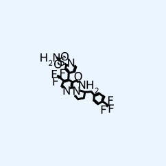 NC(=O)c1c(N2CCCC(Cc3ccc(C(F)(F)F)cc3)C2)ncc(C(F)(F)F)c1-c1ccnc(S(N)(=O)=O)c1